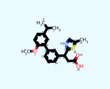 COc1ccc(C(C)C)cc1-c1cccc(C(CC(=O)O)c2ncc(C)s2)c1